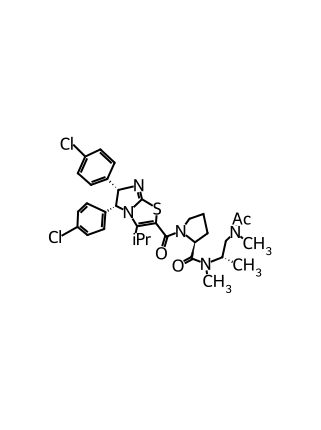 CC(=O)N(C)C[C@H](C)N(C)C(=O)[C@@H]1CCCN1C(=O)C1=C(C(C)C)N2C(=N[C@@H](c3ccc(Cl)cc3)[C@H]2c2ccc(Cl)cc2)S1